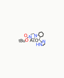 CC(=O)OC(c1ncc[nH]1)c1ccccc1N1CCN(C(=O)OC(C)(C)C)CC1